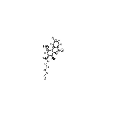 CCCCCCCN(C)c1cc(O)c2c(oc(=O)c3ccc(C)cc32)c1Br